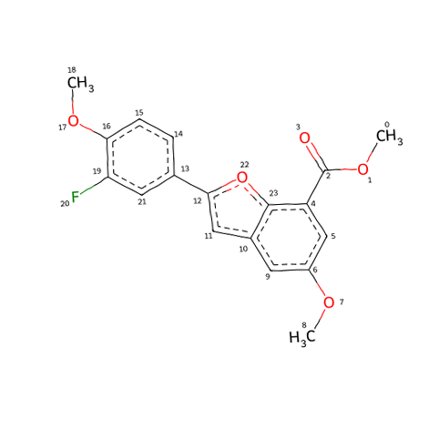 COC(=O)c1cc(OC)cc2cc(-c3ccc(OC)c(F)c3)oc12